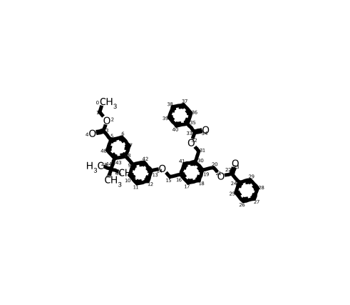 CCOC(=O)c1ccc(-c2cccc(OCc3ccc(COC(=O)c4ccccc4)c(COC(=O)c4ccccc4)c3)c2)c(C(C)(C)C)c1